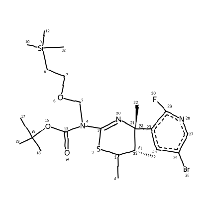 CC1SC(N(COCC[Si](C)(C)C)C(=O)OC(C)(C)C)=N[C@](C)(c2cc(Br)cnc2F)[C@@H]1C